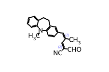 CC(/C=C(/C#N)C=O)=C/c1ccc2c(c1)CCc1ccccc1N2C